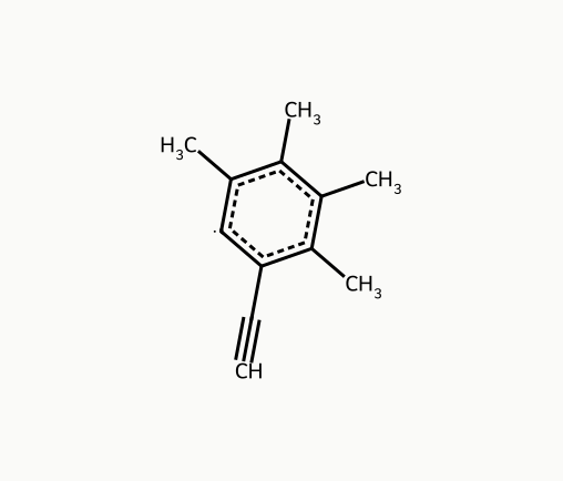 C#Cc1[c]c(C)c(C)c(C)c1C